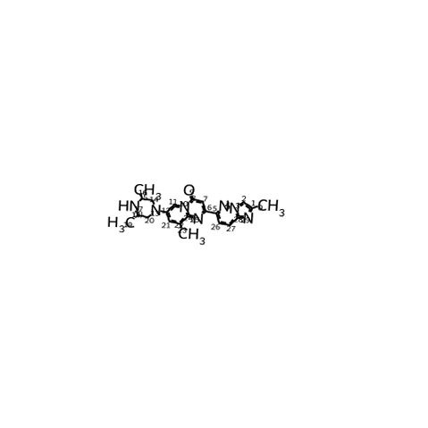 Cc1cn2nc(-c3cc(=O)n4cc(N5CC(C)N[C@@H](C)C5)cc(C)c4n3)ccc2n1